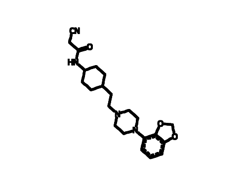 N#CCC(=O)NC1CCC(CCN2CCN(c3cccc4c3OCO4)CC2)CC1